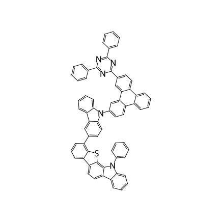 c1ccc(-c2nc(-c3ccccc3)nc(-c3ccc4c5ccccc5c5ccc(-n6c7ccccc7c7cc(-c8cccc9c8sc8c9ccc9c%10ccccc%10n(-c%10ccccc%10)c98)ccc76)cc5c4c3)n2)cc1